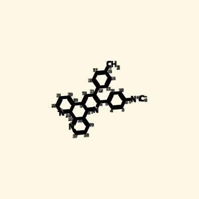 [C-]#[N+]c1ccc(-c2nc3c(cc2-c2ccc(C)cc2)c2cccnc2c2ncccc32)cc1